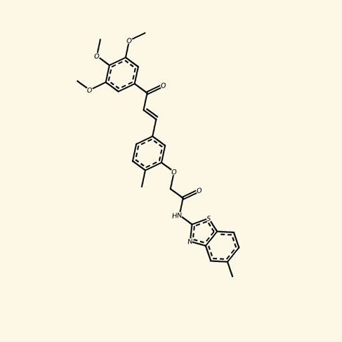 COc1cc(C(=O)/C=C/c2ccc(C)c(OCC(=O)Nc3nc4cc(C)ccc4s3)c2)cc(OC)c1OC